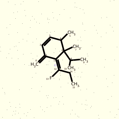 C=C1C=CC(C)C(C)(C(C)C)/C1=C(/F)CC